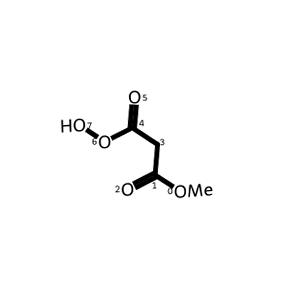 COC(=O)CC(=O)OO